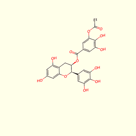 CCC(=O)Oc1cc(C(=O)O[C@@H]2Cc3c(O)cc(O)cc3O[C@@H]2c2cc(O)c(O)c(O)c2)cc(O)c1O